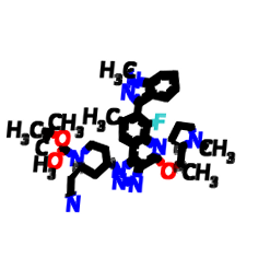 Cc1cc2c(nc(O[C@@H](C)[C@@H]3CCCN3C)c3nnn([C@H]4CCN(C(=O)OC(C)(C)C)[C@H](CC#N)C4)c32)c(F)c1-c1nn(C)c2ccccc12